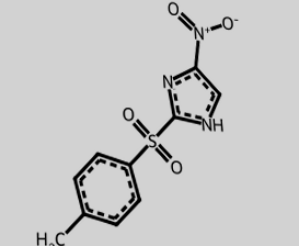 Cc1ccc(S(=O)(=O)c2nc([N+](=O)[O-])c[nH]2)cc1